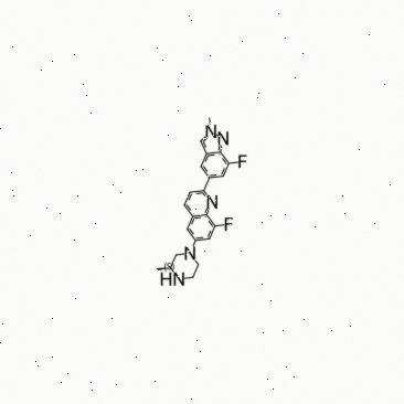 C[C@H]1CN(c2cc(F)c3nc(-c4cc(F)c5nn(C)cc5c4)ccc3c2)CCN1